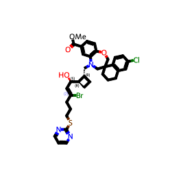 COC(=O)c1ccc2c(c1)N(C[C@@H]1CC[C@H]1[C@H](O)/C=C(\Br)CCCSc1ncccn1)CC1(CCCc3cc(Cl)ccc31)CO2